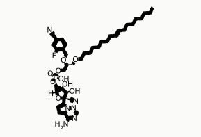 CCCCCCCC/C=C/CCCCCCCCOC[C@H](COP(=O)(O)OC1[C@H]2O[C@@](C#N)(c3ccc4c(N)ncnn34)[C@H](O)[C@@]12O)OCc1ccc(C#N)cc1F